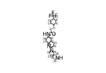 O=C(CCc1ccc(C(F)(F)F)cc1)Nc1ccc2nc(N3CCC4(CCNC4)C3)ccc2c1